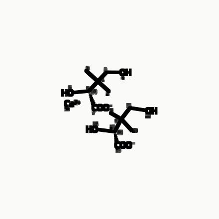 CC(C)(CO)[C@@H](O)C(=O)[O-].CC(C)(CO)[C@@H](O)C(=O)[O-].[Ca+2]